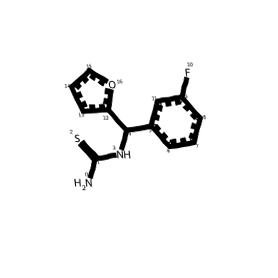 NC(=S)NC(c1cccc(F)c1)c1ccco1